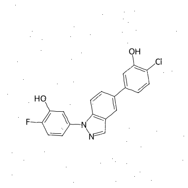 Oc1cc(-n2ncc3cc(-c4ccc(Cl)c(O)c4)ccc32)ccc1F